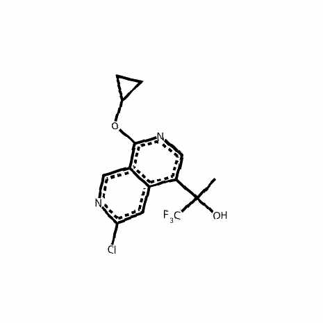 CC(O)(c1cnc(OC2CC2)c2cnc(Cl)cc12)C(F)(F)F